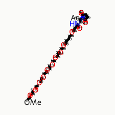 COCCOCCOCCOCCOCCOCCOCCOCCOCCOCCCCCOCCC(=O)NCC(C(C)=O)N1C(=O)C=CC1=O